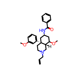 C=CCN1CC[C@@]2(c3cccc(OC)c3)C[C@@H](NC(=O)c3ccccc3)CC(OC)[C@@H]2C1